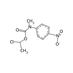 CC(Cl)OC(=O)N(C)c1ccc([N+](=O)[O-])cc1